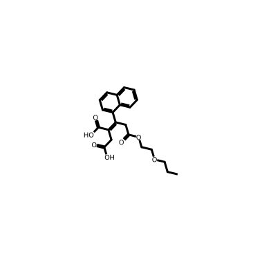 CCCOCCOC(=O)CC(=C(CC(=O)O)C(=O)O)c1cccc2ccccc12